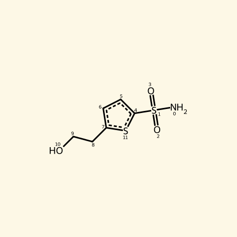 NS(=O)(=O)c1ccc(CCO)s1